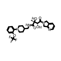 C[C@](O)(C(=O)NCC1CCN(c2ccccc2OC(F)(F)F)CC1)[C@@H](O)C(=O)N1Cc2cccnc2C1